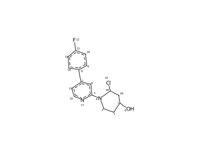 OC1CCN(c2cc(-c3ccc(F)cc3)ccn2)C(Cl)C1